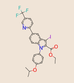 CCOC(=O)c1c(I)c2cc(-c3ccc(C(F)(F)F)cn3)ccc2n1-c1ccc(OC(C)C)cc1